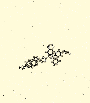 COc1ccc(C(OC[C@H]2[CH]C[C@H](n3ccc4c(/N=C\N(C)C)ccnc43)O2)(c2ccccc2)c2ccc(OC)cc2)cc1